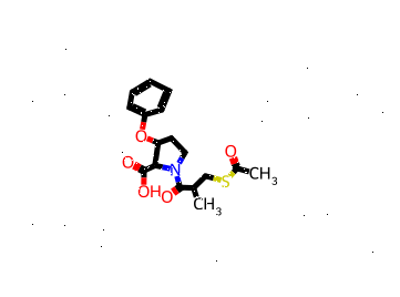 CC(=O)SCC(C)C(=O)N1CCC(Oc2ccccc2)C1C(=O)O